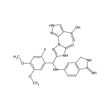 COc1cc(F)c(C(Nc2ccc3c(c2)CNC3=N)c2nn(-c3n[nH]cc3C(=O)O)c(=O)[nH]2)cc1OC